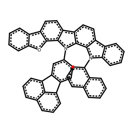 c1ccc2c(-n3c4ccccc4c4ccc5c6ccc7c8ccccc8oc7c6n(-c6ccc7c(c6)-c6cccc8cccc-7c68)c5c43)cccc2c1